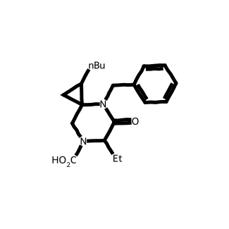 CCCCC1CC12CN(C(=O)O)C(CC)C(=O)N2Cc1ccccc1